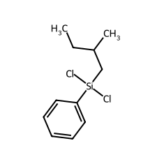 CCC(C)C[Si](Cl)(Cl)c1ccccc1